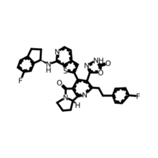 O=C1c2c(nc(CCc3ccc(F)cc3)c(-c3n[nH]c(=O)o3)c2-c2cc3ccnc(N[C@@H]4CCc5ccc(F)cc54)c3s2)[C@@H]2CCCN12